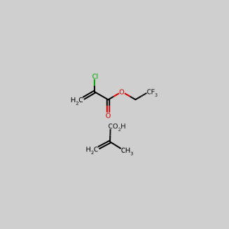 C=C(C)C(=O)O.C=C(Cl)C(=O)OCC(F)(F)F